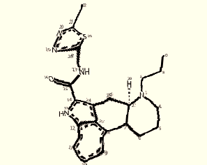 CCCN1CCCC2c3cccc4[nH]c(C(=O)Nc5nnc(C)s5)c(c34)C[C@H]21